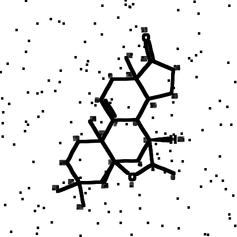 CC1O[C@@]23C[C@@H]1C1C(=CCC4(C)C(=O)CCC14)C2(C)CCC(C)(C)C3